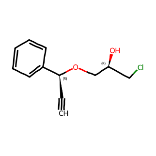 C#C[C@H](OC[C@@H](O)CCl)c1ccccc1